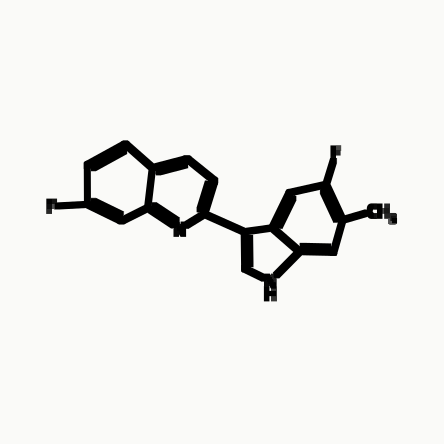 Cc1cc2[nH]cc(-c3ccc4ccc(F)cc4n3)c2cc1F